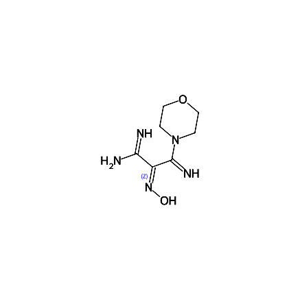 N=C(N)/C(=N/O)C(=N)N1CCOCC1